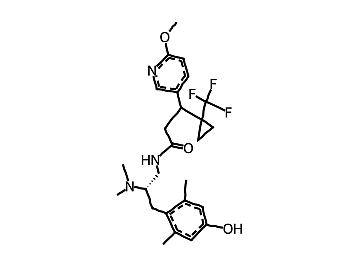 COc1ccc(C(CC(=O)NC[C@H](Cc2c(C)cc(O)cc2C)N(C)C)C2(C(F)(F)F)CC2)cn1